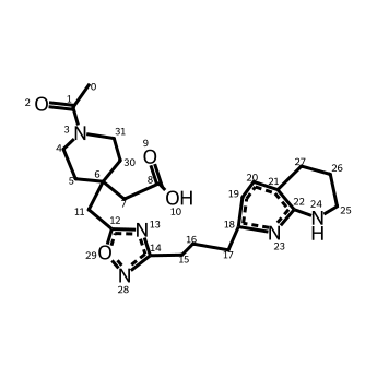 CC(=O)N1CCC(CC(=O)O)(Cc2nc(CCCc3ccc4c(n3)NCCC4)no2)CC1